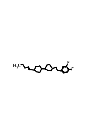 CCCC=CC1CCC(C2CCC(CCc3ccc(F)c(F)c3)CC2)CC1